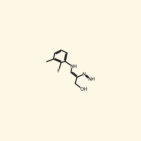 Cc1cccc(N/C=C(/CO)N=N)c1F